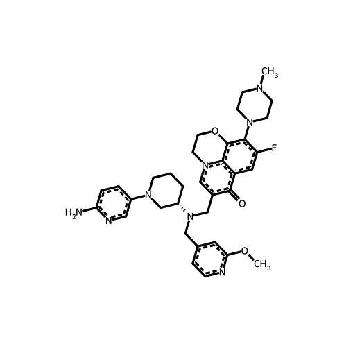 COc1cc(CN(Cc2cn3c4c(c(N5CCN(C)CC5)c(F)cc4c2=O)OCC3)[C@H]2CCCN(c3ccc(N)nc3)C2)ccn1